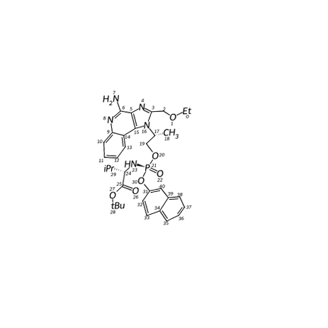 CCOCc1nc2c(N)nc3ccccc3c2n1[C@H](C)CO[P@@](=O)(N[C@H](C(=O)OC(C)(C)C)C(C)C)Oc1ccc2ccccc2c1